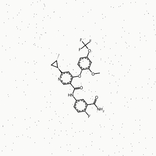 COc1cc(OC(F)(F)F)ccc1Oc1cc([C@H]2C[C@@H]2C)ncc1C(=O)Nc1ccc(F)c(C(N)=O)c1